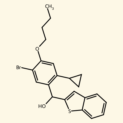 CCCCOc1cc(C2CC2)c(C(O)c2cc3ccccc3s2)cc1Br